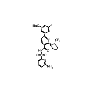 CC(C)COc1cc(F)cc(-c2ccc(C(=O)NS(=O)(=O)c3cccc(N)n3)c(N3CCC[C@H]3C(F)(F)F)n2)c1